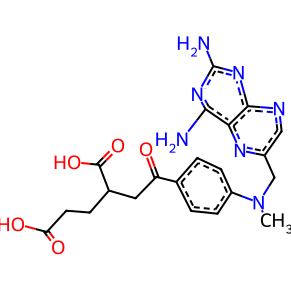 CN(Cc1cnc2nc(N)nc(N)c2n1)c1ccc(C(=O)CC(CCC(=O)O)C(=O)O)cc1